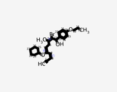 C#C/C=C\C(=C/C/C(C)=C(/Br)C(O)c1ccc(OCCC)cc1)OC1CCCCC1